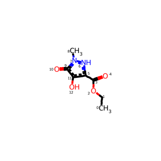 CCOC(=O)c1[nH]n(C)c(=O)c1O